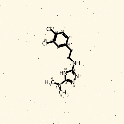 CN(C)c1nnc(NCCc2ccc(Cl)c(Cl)c2)[nH]1